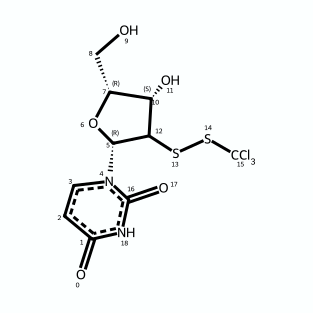 O=c1ccn([C@@H]2O[C@H](CO)[C@H](O)C2SSC(Cl)(Cl)Cl)c(=O)[nH]1